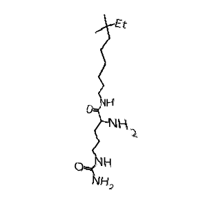 CCC(C)(C)CCCCCCNC(=O)C(N)CCCNC(N)=O